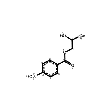 CCCCC(O)COC(=O)c1ccc(C(=O)O)cc1